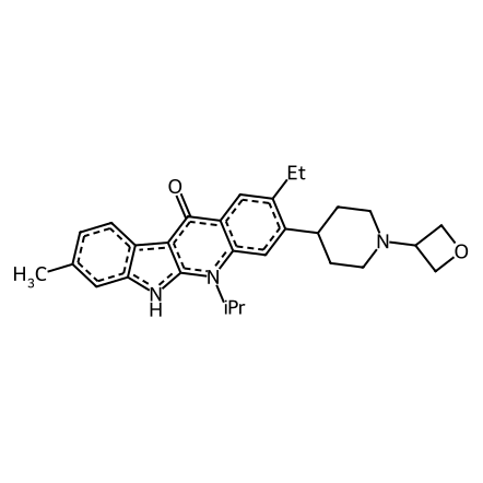 CCc1cc2c(=O)c3c4ccc(C)cc4[nH]c3n(C(C)C)c2cc1C1CCN(C2COC2)CC1